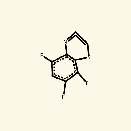 Fc1cc(F)c2c(c1F)SC=C=N2